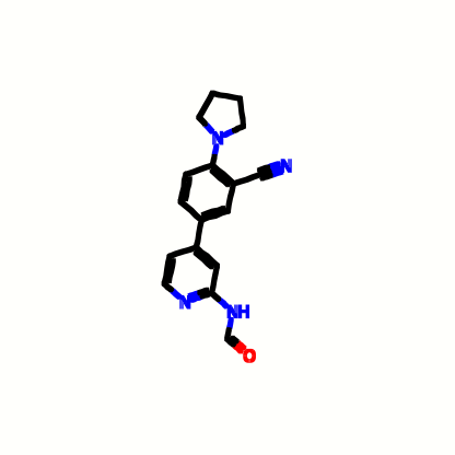 N#Cc1cc(-c2ccnc(NC=O)c2)ccc1N1CCCC1